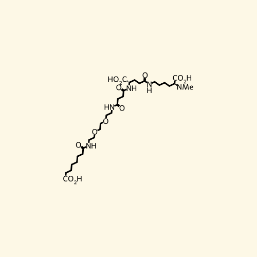 CN[C@@H](CCCCNC(=O)CC[C@H](NC(=O)CCC(=O)NCCOCCOCCNC(=O)CCCCCCC(=O)O)C(=O)O)C(=O)O